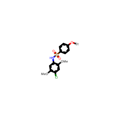 CCOc1ccc(S(=O)(=O)Nc2cc(OC)c(Cl)cc2OC)cc1